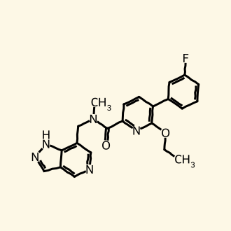 CCOc1nc(C(=O)N(C)Cc2cncc3cn[nH]c23)ccc1-c1cccc(F)c1